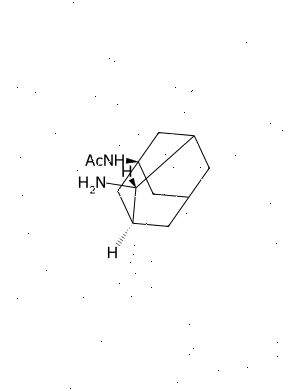 CC(=O)N[C@]12CC3CC(C1)[C@@H](N)[C@@H](C3)C2